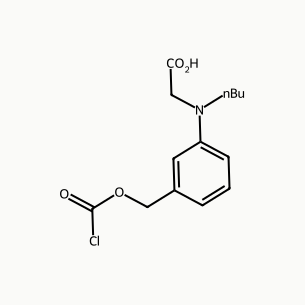 CCCCN(CC(=O)O)c1cccc(COC(=O)Cl)c1